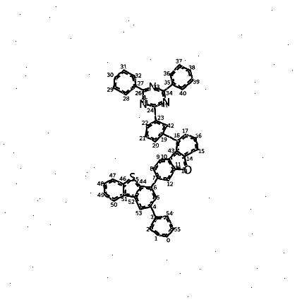 c1ccc(-c2cc(-c3ccc4c(c3)oc3cccc(-c5cccc(-c6nc(-c7ccccc7)nc(-c7ccccc7)n6)c5)c34)c3sc4ccccc4c3c2)cc1